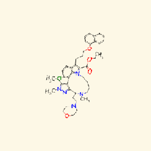 CCOC(=O)c1c(CCCOc2cccc3ccccc23)c2ccc(Cl)c3c2n1CCCCN(C)C(CCN1CCOCC1)c1nn(C)c(CC)c1-3